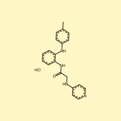 Cc1ccc(Nc2ccccc2NC(=O)CNc2ccncc2)cc1.Cl